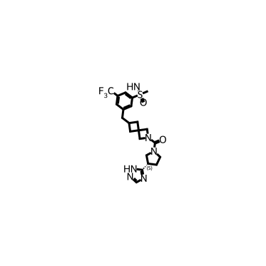 CS(=N)(=O)c1cc(CC2CC3(C2)CN(C(=O)N2CC[C@H](c4ncn[nH]4)C2)C3)cc(C(F)(F)F)c1